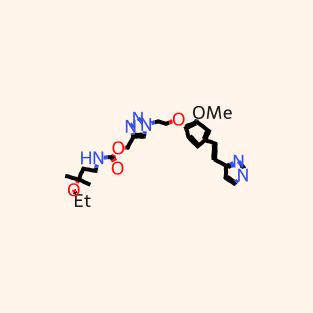 CCOC(C)(C)CCNC(=O)OCc1cn(CCOc2ccc(/C=C/c3ccncn3)cc2OC)nn1